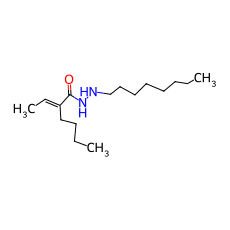 C/C=C(\CCCC)C(=O)NNCCCCCCCC